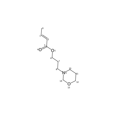 CC=CC(=O)OCCCN1CCCOC1